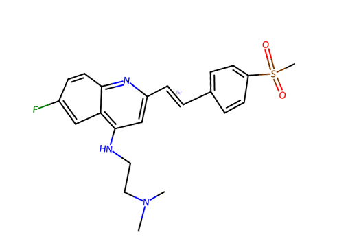 CN(C)CCNc1cc(/C=C/c2ccc(S(C)(=O)=O)cc2)nc2ccc(F)cc12